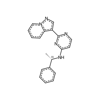 C[C@H](Nc1ccnc(-c2cnn3ccccc23)n1)c1ccccc1